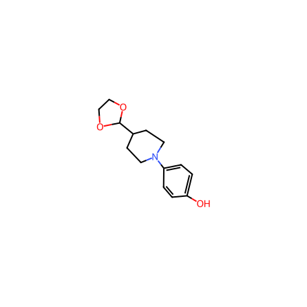 Oc1ccc(N2CCC(C3OCCO3)CC2)cc1